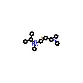 c1ccc(-c2cc(-c3ccccc3)cc(-c3nc(-c4ccccc4)nc(-c4ccc5c(c4)sc4ccc(-c6ccc7c(c6)c6ccccc6n7-c6ccccc6)cc45)n3)c2)cc1